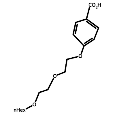 CCCCCCOCCOCCOc1ccc(C(=O)O)cc1